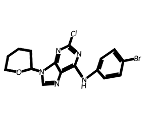 Clc1nc(Nc2ccc(Br)cc2)c2ncn(C3CCCCO3)c2n1